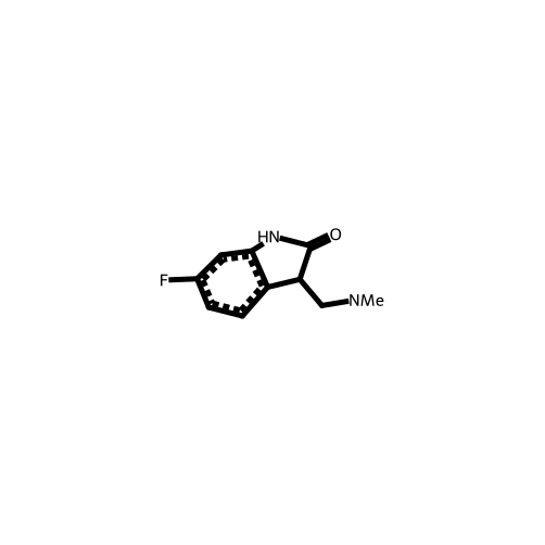 CNCC1C(=O)Nc2cc(F)ccc21